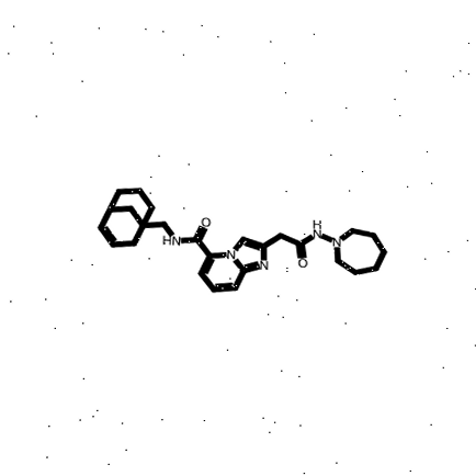 O=C(Cc1cn2c(C(=O)NCC34CC=CC(CCC3)C4)cccc2n1)NN1CCCCCC1